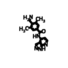 Cc1cc(C(=O)Nc2ccnc3[nH]ncc23)cc(C)c1CN